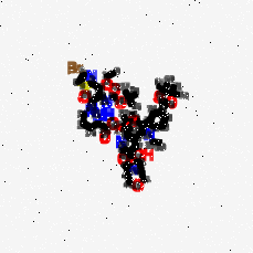 CCO[C@H](c1nc(Br)cs1)[C@H](NC(=O)OC(C)(C)C)C(=O)N1CCCC(C(=O)OCC(C)(C)Cc2c(-c3cc(C4=CC5COCC(C4)N5C(=O)O)cnc3[C@H](C)OC)n(CC)c3ccc(B4OC(C)(C)C(C)(C)O4)cc23)N1